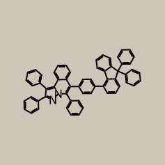 c1ccc(-c2nn3c(-c4ccccc4)c(-c4ccc(-c5cccc6c5-c5ccccc5C6(c5ccccc5)c5ccccc5)cc4)c4ccccc4c3c2-c2ccccc2)cc1